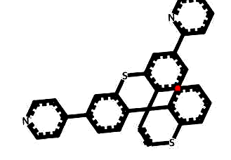 c1ccc(-c2ccc3c(c2)Sc2cc(-c4ccncc4)ccc2C32c3ccccc3Sc3ccccc32)nc1